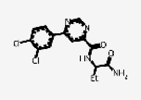 CCC(NC(=O)c1cc(-c2ccc(Cl)c(Cl)c2)ncn1)C(N)=O